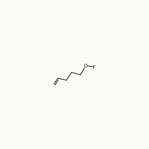 C=CCCCOF